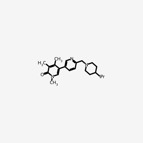 Cc1c(-c2ccc(CN3CCC(C(C)C)CC3)nc2)cn(C)c(=O)c1C